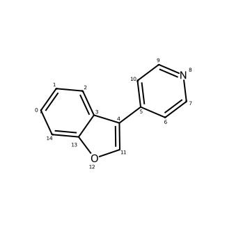 [c]1ccc2c(-c3ccncc3)coc2c1